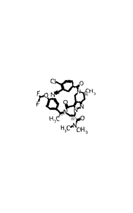 C[C@@H]1Cc2nn3c(c2CN1C(=O)c1ccc(Cl)c(C#N)c1)C(=O)N([C@H](C)c1ccc(OC(F)F)cc1)C[C@H]3C(=O)N(C)C